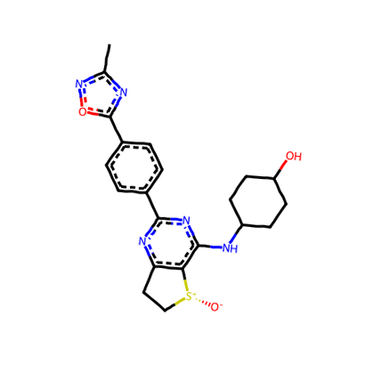 Cc1noc(-c2ccc(-c3nc4c(c(NC5CCC(O)CC5)n3)[S@+]([O-])CC4)cc2)n1